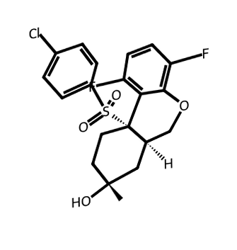 C[C@@]1(O)CC[C@@]2(S(=O)(=O)c3ccc(Cl)cc3)c3c(F)ccc(F)c3OC[C@H]2C1